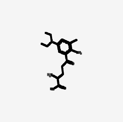 CCN(CC)c1cc(C)c(N)c(C(=O)CCC(N)C(=O)O)c1